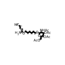 CC(=O)N[C@H]1C(OC(C)=O)[C@@H](OC(C)=O)C(COC(C)=O)O[C@H]1OCCCCCCOP(N)OCCC#N